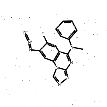 CN(c1ccccc1)c1nc2nncn2c2cc(N=[N+]=[N-])c(F)cc12